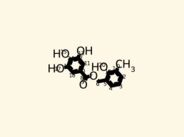 Cc1cccc(COC(=O)c2cc(O)c(O)c(O)c2)c1O